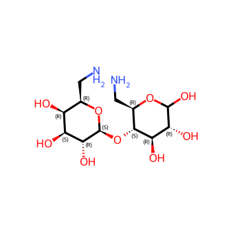 NC[C@H]1O[C@@H](O[C@H]2[C@H](O)[C@@H](O)C(O)O[C@@H]2CN)[C@H](O)[C@@H](O)[C@H]1O